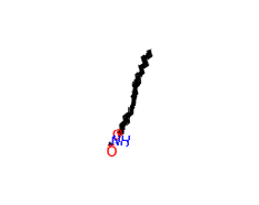 CCCCCCCCCCCCCCCCCCONC=O